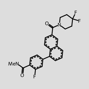 CNC(=O)c1ccc(-c2cccc3cc(C(=O)N4CCC(F)(F)CC4)ccc23)cc1F